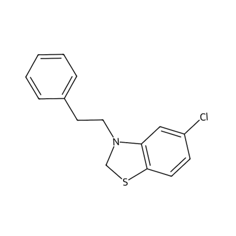 Clc1ccc2c(c1)N(CCc1ccccc1)CS2